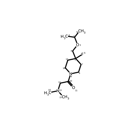 CC(C)OCC1(F)CCN(C(=O)CN(C)C)CC1